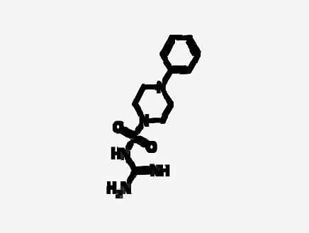 N=C(N)NS(=O)(=O)N1CCN(c2ccccc2)CC1